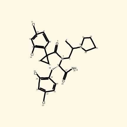 CC(CN(C(=O)C1(c2ccc(Cl)cc2Cl)CC1)[C@@H](Cc1ccc(Cl)cc1Cl)C(N)=O)N1CCCC1